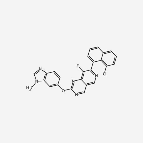 Cn1cnc2ccc(Oc3ncc4cnc(-c5cccc6cccc(Cl)c56)c(F)c4n3)cc21